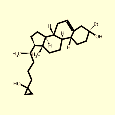 CC[C@]1(O)CC[C@H]2C(=CC[C@@H]3[C@@H]2CC[C@]2(C)[C@@H]([C@H](C)CCCC4(O)CC4)CC[C@@H]32)C1